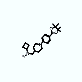 CC(C)N(CC1CCN(c2ccc(B3OC(C)(C)C(C)(C)O3)cc2)CC1)C1CCC1